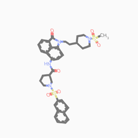 CS(=O)(=O)N1CCC(CCN2C(=O)c3cccc4c(NC(=O)C5CCCN(S(=O)(=O)c6ccc7ccccc7c6)C5)ccc2c34)CC1